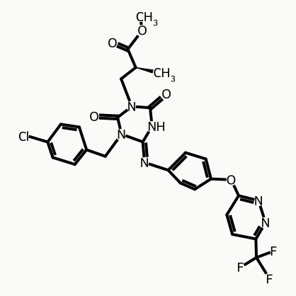 COC(=O)[C@@H](C)Cn1c(=O)[nH]/c(=N\c2ccc(Oc3ccc(C(F)(F)F)nn3)cc2)n(Cc2ccc(Cl)cc2)c1=O